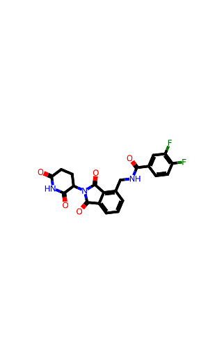 O=C1CCC(N2C(=O)c3cccc(CNC(=O)c4ccc(F)c(F)c4)c3C2=O)C(=O)N1